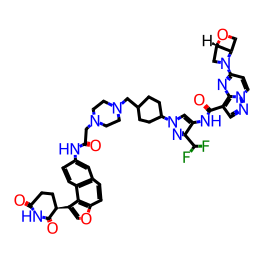 O=C1CC[C@@H](c2coc3ccc4cc(NC(=O)CN5CCN(CC6CCC(n7cc(NC(=O)c8cnn9ccc(N%10C[C@@H]%11OCC%11%10)nc89)c(C(F)F)n7)CC6)CC5)ccc4c23)C(=O)N1